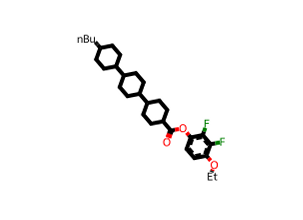 CCCCC1CCC(C2CCC(C3CCC(C(=O)Oc4ccc(OCC)c(F)c4F)CC3)CC2)CC1